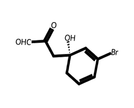 O=CC(=O)C[C@@]1(O)C=C(Br)C=CC1